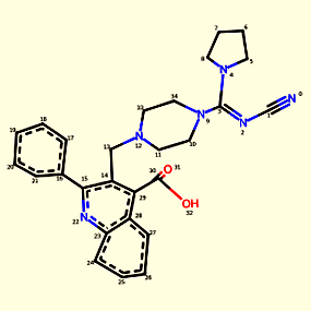 N#C/N=C(\N1CCCC1)N1CCN(Cc2c(-c3ccccc3)nc3ccccc3c2C(=O)O)CC1